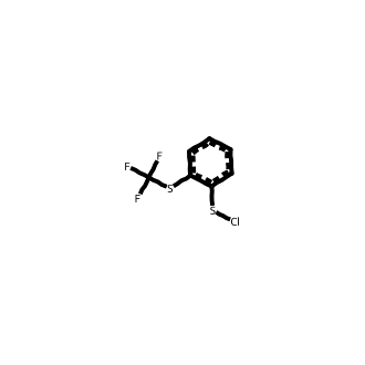 FC(F)(F)Sc1ccccc1SCl